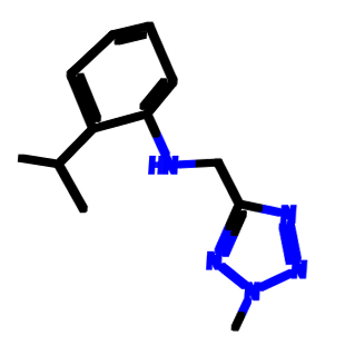 CC(C)c1ccccc1NCc1nnn(C)n1